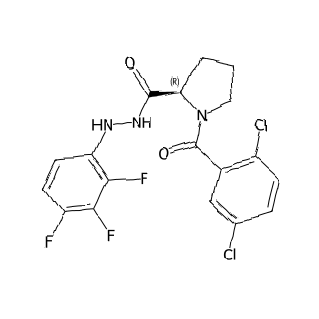 O=C(NNc1ccc(F)c(F)c1F)[C@H]1CCCN1C(=O)c1cc(Cl)ccc1Cl